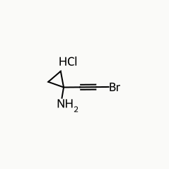 Cl.NC1(C#CBr)CC1